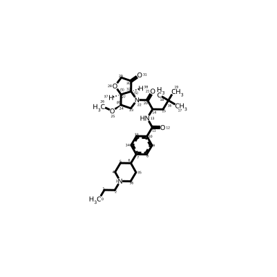 CCCN1CCC(c2ccc(C(=O)NC(CC(C)(C)C)C(=O)N3C[C@@H](OC)[C@H]4OCC(=O)[C@H]43)cc2)CC1